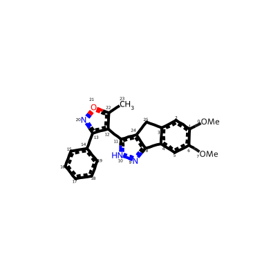 COc1cc2c(cc1OC)-c1n[nH]c(-c3c(-c4ccccc4)noc3C)c1C2